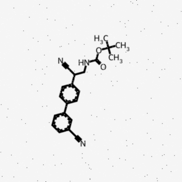 CC(C)(C)OC(=O)NCC(C#N)c1ccc(-c2cccc(C#N)c2)cc1